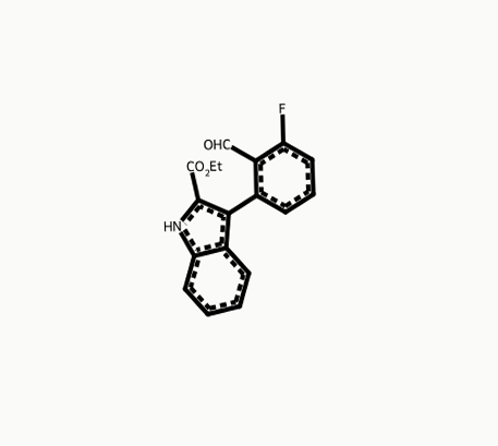 CCOC(=O)c1[nH]c2ccccc2c1-c1cccc(F)c1C=O